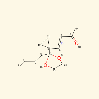 CCCCC1(C2(/C=C/C(C)=O)CC2)OCCO1